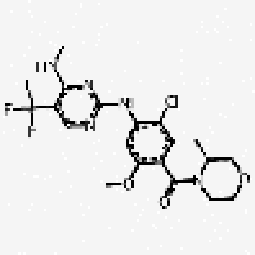 CNc1nc(Nc2cc(OC)c(C(=O)N3CCOC[C@@H]3C)cc2Cl)ncc1C(F)(F)F